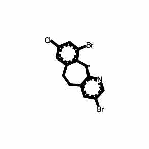 Clc1cc(Br)c2c(c1)CCc1cc(Br)cnc1[C]2